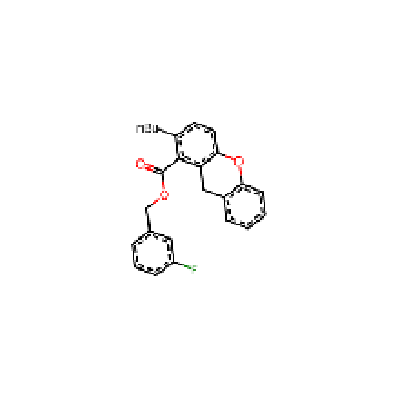 CCCCc1ccc2c(c1C(=O)OCc1cccc(F)c1)Cc1ccccc1O2